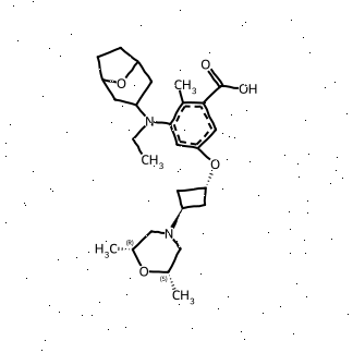 CCN(c1cc(O[C@H]2C[C@H](N3C[C@@H](C)O[C@@H](C)C3)C2)cc(C(=O)O)c1C)C1CC2CCC(C1)O2